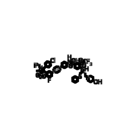 Cc1c(S(C)(=O)=O)c(-c2cc(F)cc(N3CCN(c4ccc(NP(=O)(O)c5ccc(N[C@H](CCN6CCC(O)CC6)CSc6ccccc6)c(S(=O)(=O)C(F)(F)F)c5)cc4)CC3)c2)c(-c2ccc(Cl)cc2)n1C(C)C